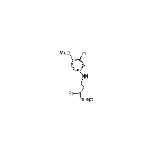 CCCCCCCN(CC)CCNc1ccc(OC)c(Cl)c1